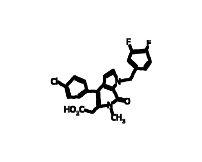 Cn1c(CC(=O)O)c(-c2ccc(Cl)cc2)c2ccn(Cc3ccc(F)c(F)c3)c2c1=O